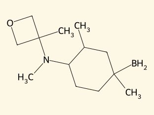 BC1(C)CCC(N(C)C2(C)COC2)C(C)C1